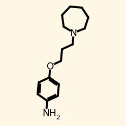 Nc1ccc(OCCCN2CCCCCC2)cc1